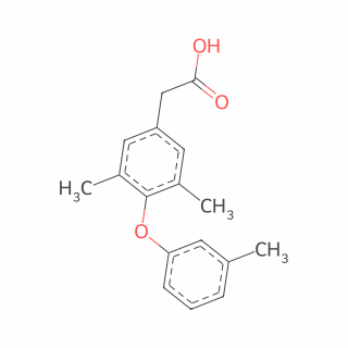 Cc1cccc(Oc2c(C)cc(CC(=O)O)cc2C)c1